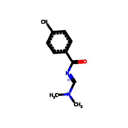 [C-]#[N+]c1ccc(C(=O)/N=C/N(C)C)cc1